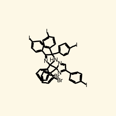 Brc1ccccc1C1(C2(c3ccccc3Br)N=C(c3ccc(I)cc3)C(c3ccc(I)cc3)(c3ccc(I)cc3)N2)N=CC(c2ccc(I)cc2)=N1